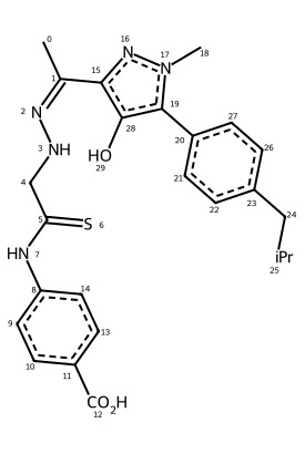 CC(=NNCC(=S)Nc1ccc(C(=O)O)cc1)c1nn(C)c(-c2ccc(CC(C)C)cc2)c1O